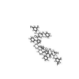 O=C(c1ncn([C@H]2CCCC[C@@H]2NN(C(=O)O)[C@H]2CCCC[C@@H]2n2cnc(C(=O)N3CCNC[C@H]3Cc3cc(F)cc(F)c3)c2-c2ccccc2)c1-c1ccccc1)N1CCN(Cc2ccccc2)C[C@H]1Cc1cc(F)cc(F)c1